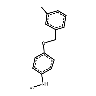 CCNc1ccc(OCc2cccc(C)c2)cc1